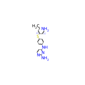 C=C/C=C(\C=C/N)Sc1ccc(Nc2ccnc(N)n2)cc1